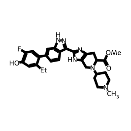 CCc1cc(O)c(F)cc1-c1ccc2c(-c3nc4c([nH]3)CN(C3CCN(C)CC3)C(C(=O)OC)C4)n[nH]c2c1